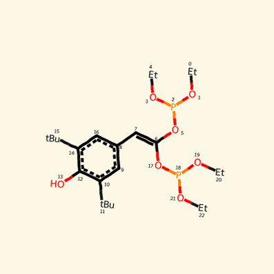 CCOP(OCC)OC(=Cc1cc(C(C)(C)C)c(O)c(C(C)(C)C)c1)OP(OCC)OCC